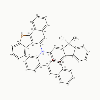 CC1(C)c2ccccc2-c2ccc(N(c3ccccc3-c3ccc4ccccc4c3)c3cc4ccccc4c4sc5ccccc5c34)cc21